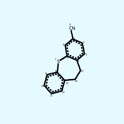 N#Cc1ccc2c(c1)Sc1ccccc1CC2